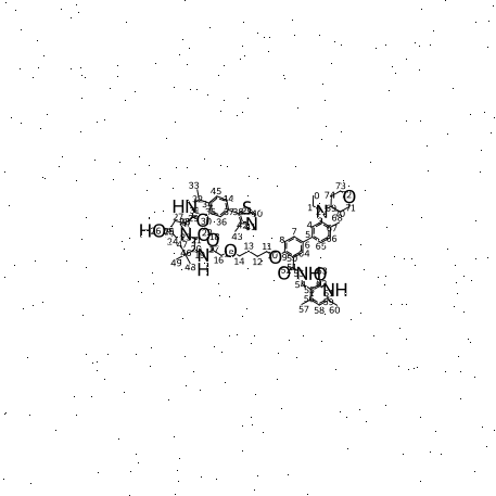 CCN(c1cc(-c2ccc(OCCCCOCC(=O)NC(C(=O)N3C[C@H](O)C[C@H]3C(=O)NC(C)c3ccc(-c4scnc4C)cc3)C(C)(C)C)c(C(=O)NCc3c(C)cc(C)[nH]c3=O)c2)ccc1C)C1CCOCC1